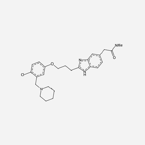 CNC(=O)Cc1ccc2[nH]c(CCCOc3ccc(Cl)c(CN4CCCCC4)c3)nc2c1